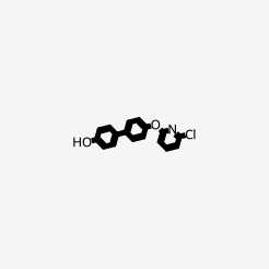 Oc1ccc(-c2ccc(Oc3cccc(Cl)n3)cc2)cc1